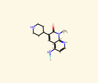 Cn1c(=O)c(C2CCNCC2)cc2c(NF)ccnc21